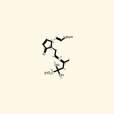 CCCCCC=C[C@H]1C=CC(=O)[C@@H]1CC=C=C(C)CC(O)(O)C(=O)OCC